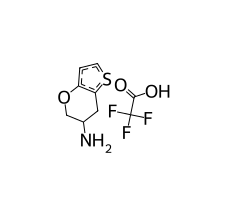 NC1COc2ccsc2C1.O=C(O)C(F)(F)F